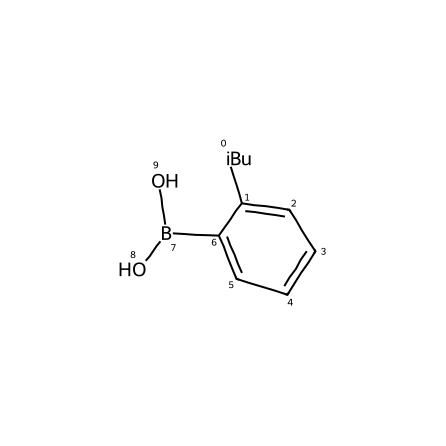 CCC(C)c1ccccc1B(O)O